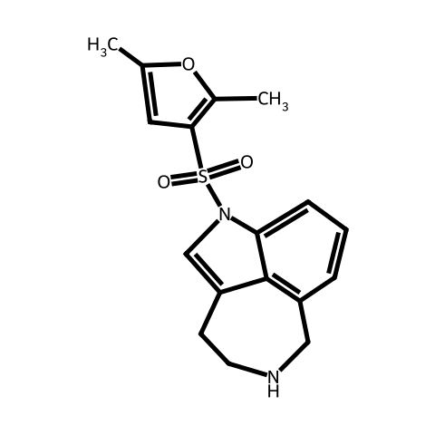 Cc1cc(S(=O)(=O)n2cc3c4c(cccc42)CNCC3)c(C)o1